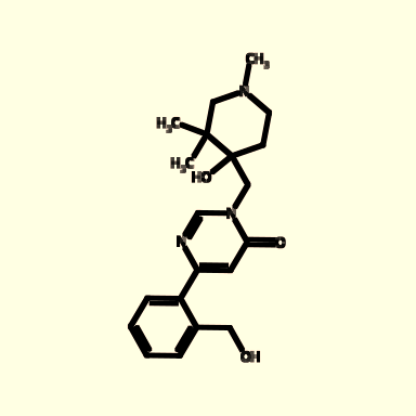 CN1CCC(O)(Cn2cnc(-c3ccccc3CO)cc2=O)C(C)(C)C1